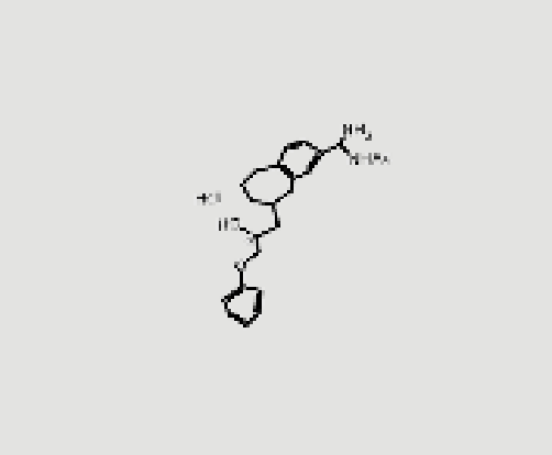 CC(=O)NC(N)c1ccc2c(c1)CC(C[C@H](O)COc1ccccc1)CCC2.Cl